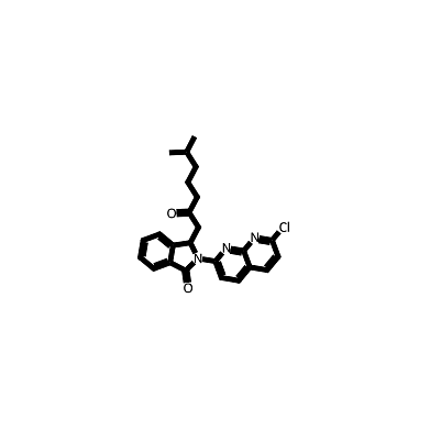 CC(C)CCCC(=O)CC1c2ccccc2C(=O)N1c1ccc2ccc(Cl)nc2n1